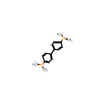 CP(C)c1ccc(-c2ccc(P(C)C)cc2)cc1